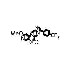 COc1ccc(N(C)C(=O)c2cn3c(-c4ccc(C(F)(F)F)cc4)cnc3cn2)cn1